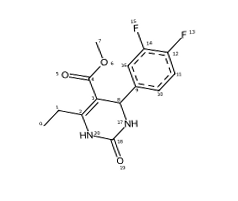 CCC1=C(C(=O)OC)C(c2ccc(F)c(F)c2)NC(=O)N1